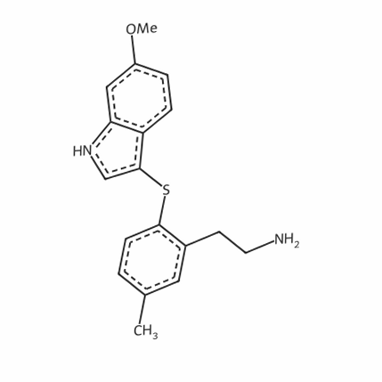 COc1ccc2c(Sc3ccc(C)cc3CCN)c[nH]c2c1